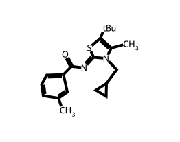 Cc1cccc(C(=O)/N=c2\sc(C(C)(C)C)c(C)n2CC2CC2)c1